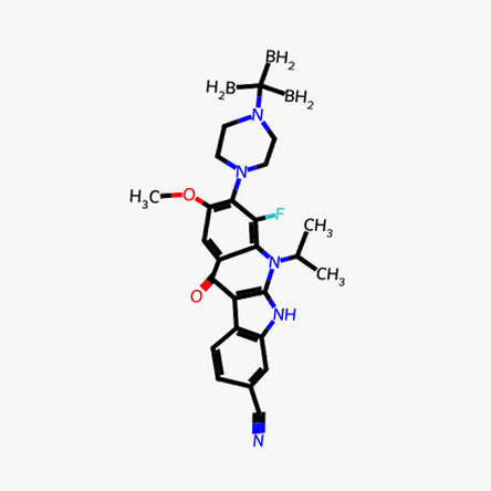 BC(B)(B)N1CCN(c2c(OC)cc3c(=O)c4c5ccc(C#N)cc5[nH]c4n(C(C)C)c3c2F)CC1